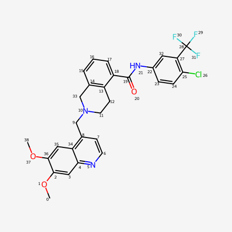 COc1cc2nccc(CN3CCc4c(cccc4C(=O)Nc4ccc(Cl)c(C(F)(F)F)c4)C3)c2cc1OC